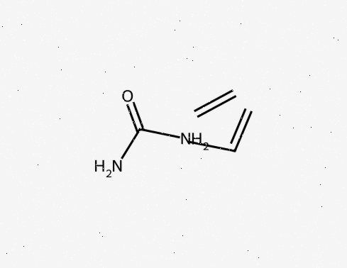 C=C.C=CC.NC(N)=O